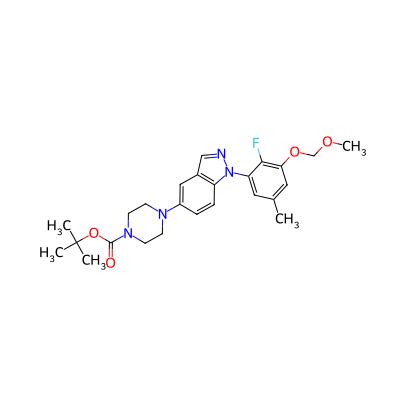 COCOc1cc(C)cc(-n2ncc3cc(N4CCN(C(=O)OC(C)(C)C)CC4)ccc32)c1F